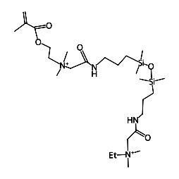 C=C(C)C(=O)OCC[N+](C)(C)CC(=O)NCCC[Si](C)(C)O[Si](C)(C)CCCNC(=O)C[N+](C)(C)CC